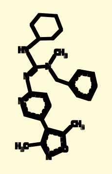 Cc1noc(C)c1-c1ccc(/N=C(/NC2CCCCC2)N(C)Cc2ccccc2)nc1